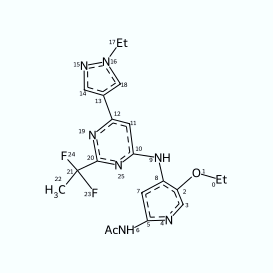 CCOc1cnc(NC(C)=O)cc1Nc1cc(-c2cnn(CC)c2)nc(C(C)(F)F)n1